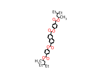 CCC(CC)C[C@@H](C)OC(=O)c1ccc(OC(=O)c2ccc3cc(C(=O)Oc4ccc(C(=O)O[C@H](C)CC(CC)CC)cc4)ccc3c2)cc1